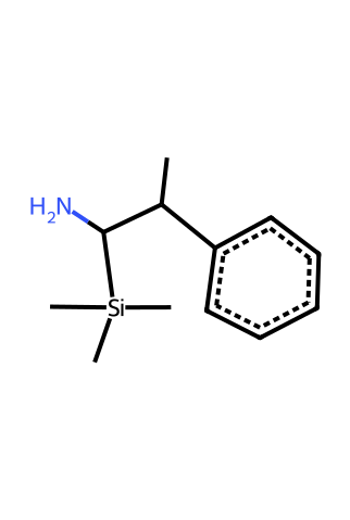 CC(c1ccccc1)C(N)[Si](C)(C)C